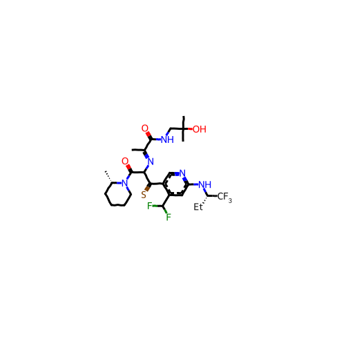 CC[C@H](Nc1cc(C(F)F)c(C(=S)C(/N=C(\C)C(=O)NCC(C)(C)O)C(=O)N2CCCC[C@@H]2C)cn1)C(F)(F)F